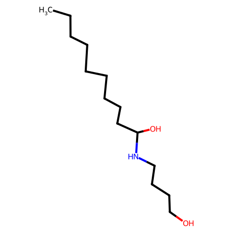 CCCCCCCCCC(O)NCCCCO